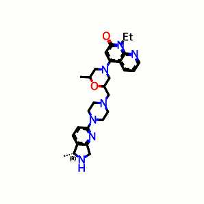 CCn1c(=O)cc(N2CC(C)OC(CN3CCN(c4ccc5c(n4)CN[C@@H]5C)CC3)C2)c2cccnc21